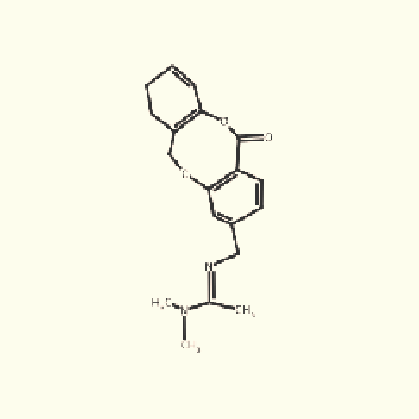 C/C(=N\Cc1ccc2c(c1)CCC1=C(C=CCC1)OC2=O)N(C)C